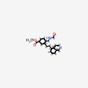 COC(=O)c1ccc(CNC=O)c(CCc2cccc3cnccc23)c1